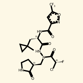 CC1(C[C@H](NC(=O)c2cc(C(F)(F)F)on2)C(=O)NN(C[C@@H]2CCNC2=O)C(=O)[C@H](F)Cl)CC1